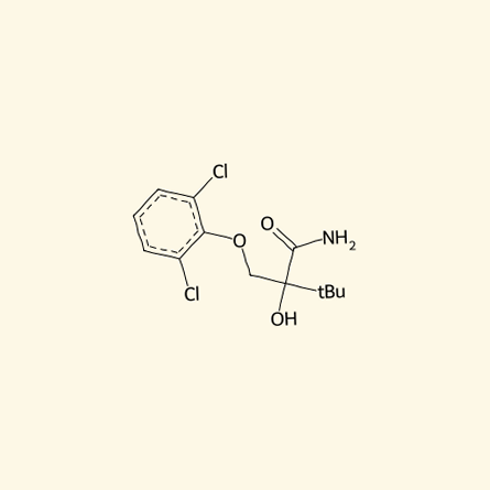 CC(C)(C)C(O)(COc1c(Cl)cccc1Cl)C(N)=O